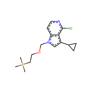 CS(C)(C)CCOCn1cc(C2CC2)c2c(Cl)nccc21